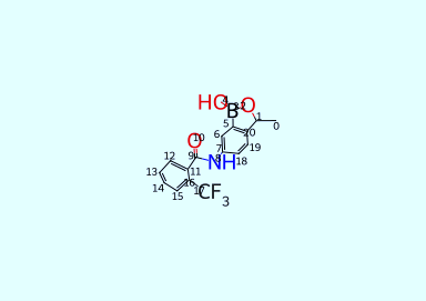 CC1OB(O)c2cc(NC(=O)c3ccccc3C(F)(F)F)ccc21